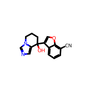 N#Cc1cccc2c(C3(O)CCCn4cncc43)coc12